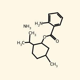 CC1CCC(C(C)C)C(OC(=O)c2ccccc2N)C1.N